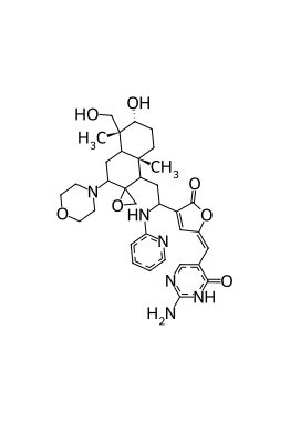 C[C@]12CC[C@@H](O)[C@@](C)(CO)C1CC(N1CCOCC1)C1(CO1)C2CC(Nc1ccccn1)C1=C/C(=C\c2cnc(N)[nH]c2=O)OC1=O